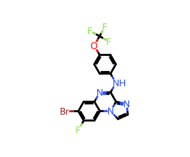 Fc1cc2c(cc1Br)nc(Nc1ccc(OC(F)(F)F)cc1)c1nccn12